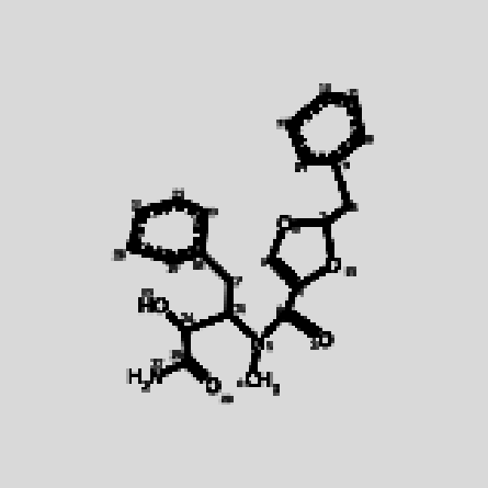 CN(C(=O)C1=COC(Cc2ccccc2)O1)C(Cc1ccccc1)C(O)C(N)=O